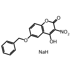 O=c1oc2ccc(OCc3ccccc3)cc2c(O)c1[N+](=O)[O-].[NaH]